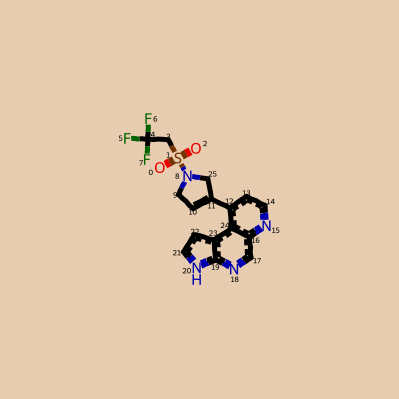 O=S(=O)(CC(F)(F)F)N1CC=C(c2ccnc3cnc4[nH]ccc4c23)C1